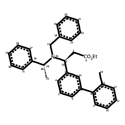 CCOC(=O)C[C@@H](c1cccc(-c2ccccc2C)c1)N(Cc1ccccc1)[C@H](C)c1ccccc1